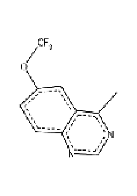 Cc1ncnc2ccc(OC(F)(F)F)cc12